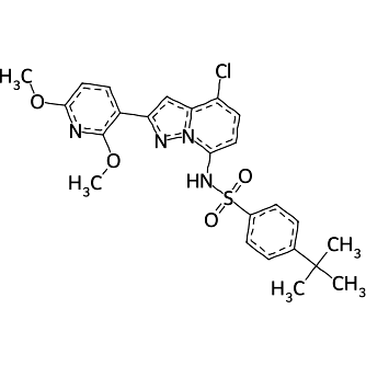 COc1ccc(-c2cc3c(Cl)ccc(NS(=O)(=O)c4ccc(C(C)(C)C)cc4)n3n2)c(OC)n1